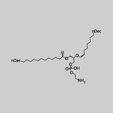 CCCCCCCCCCCCCCCC/C=C\O[C@H](COC(=O)CCCCCCCCCCCCCCCCCCCCC)COP(=O)(O)OCCN